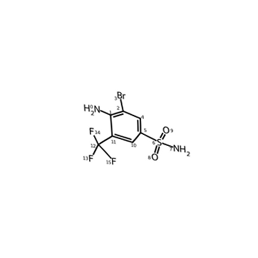 Nc1c(Br)cc(S(N)(=O)=O)cc1C(F)(F)F